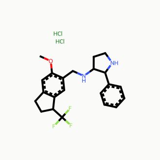 COc1cc2c(cc1CNC1CCNC1c1ccccc1)C(C(F)(F)F)CC2.Cl.Cl